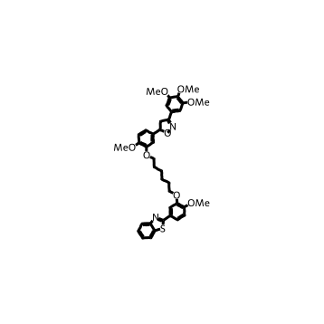 COc1ccc(-c2nc3ccccc3s2)cc1OCCCCCCOc1cc(C2CC(c3cc(OC)c(OC)c(OC)c3)=NO2)ccc1OC